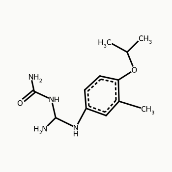 Cc1cc(NC(N)NC(N)=O)ccc1OC(C)C